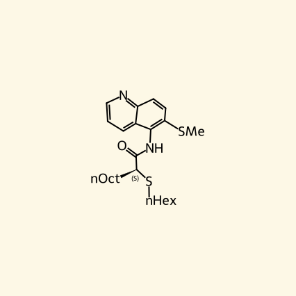 CCCCCCCC[C@H](SCCCCCC)C(=O)Nc1c(SC)ccc2ncccc12